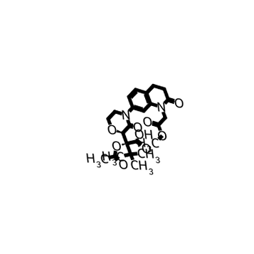 COC(=O)CN1C(=O)CCc2ccc(N3CCO[C@H]([C@@](OC(C)=O)(C(=O)O)C(C)(C)C)C3=O)cc21